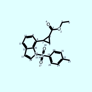 CCOC(=O)C1CC1c1cccc2ccn(S(=O)(=O)c3ccc(C)cc3)c12